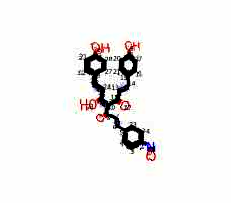 O=Nc1ccc(/C=C/C(=O)/C(C(=O)/C=C/c2ccc(O)cc2)=C(O)/C=C/c2ccc(O)cc2)cc1